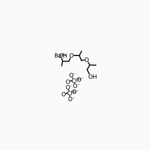 CC(O)COC(C)COC(C)CO.[Ba+2].[O-][Cl+3]([O-])([O-])[O-].[O-][Cl+3]([O-])([O-])[O-]